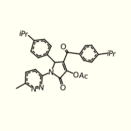 CC(=O)OC1=C(C(=O)c2ccc(C(C)C)cc2)C(c2ccc(C(C)C)cc2)N(c2ccc(C)nn2)C1=O